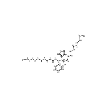 CCCCCCCCCCCCCC(C(CCCCCCCCCCC)Cc1ccccc1)n1ccnc1